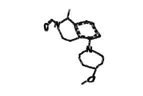 COC1CCN(c2cccc3c2CCN(C=O)C3C)CC1